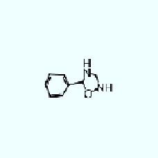 c1ccc(C2NCNO2)cc1